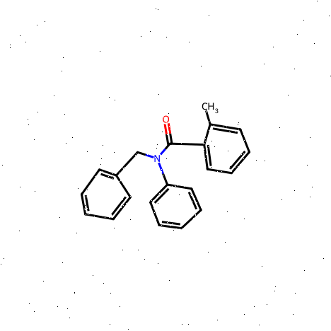 Cc1ccccc1C(=O)N(Cc1ccccc1)c1ccccc1